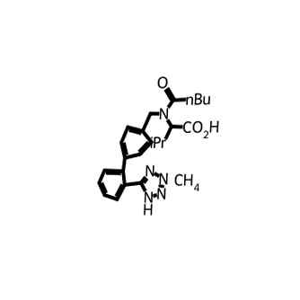 C.CCCCC(=O)N(Cc1ccc(-c2ccccc2-c2nnn[nH]2)cc1)C(C(=O)O)C(C)C